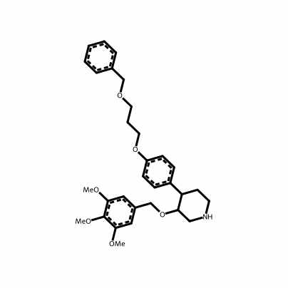 COc1cc(COC2CNCCC2c2ccc(OCCCOCc3ccccc3)cc2)cc(OC)c1OC